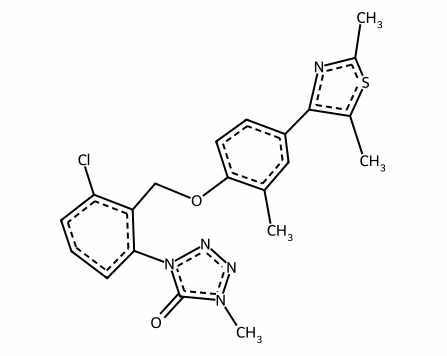 Cc1nc(-c2ccc(OCc3c(Cl)cccc3-n3nnn(C)c3=O)c(C)c2)c(C)s1